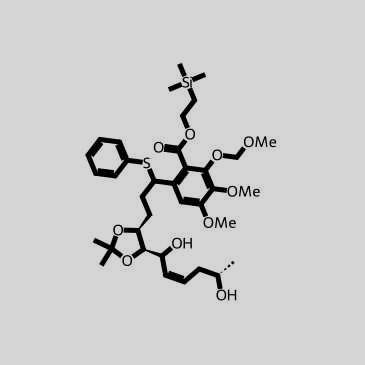 COCOc1c(OC)c(OC)cc(C(CC[C@@H]2OC(C)(C)O[C@@H]2C(O)/C=C\C[C@H](C)O)Sc2ccccc2)c1C(=O)OCC[Si](C)(C)C